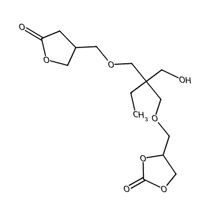 CCC(CO)(COCC1COC(=O)C1)COCC1COC(=O)O1